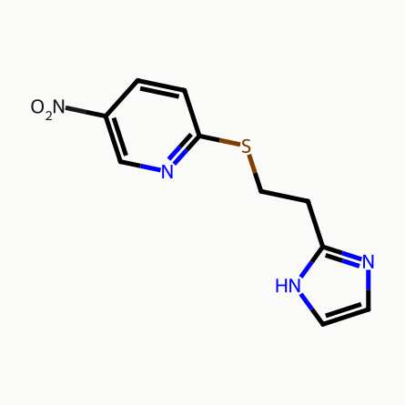 O=[N+]([O-])c1ccc(SCCc2ncc[nH]2)nc1